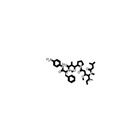 CC[C@H](C)C(C(CC(=O)N1CCCC1C(OC)C(C)C(=O)N[C@@H](Cc1ccccc1)C(=O)Nc1ccc(N)cc1)OC)N(C)C(=O)CC(C)C